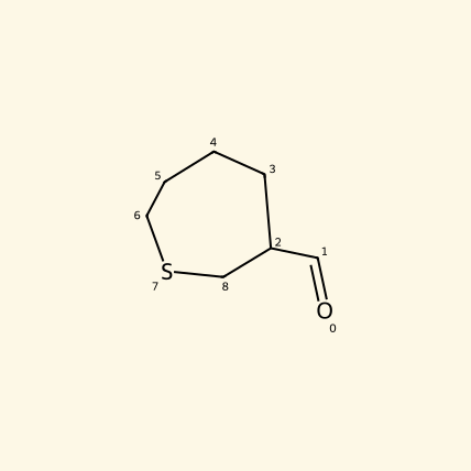 O=CC1CCCCSC1